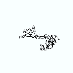 C=C1/C(=C\C=C2/CCC[C@]3(C)[C@@H]([C@H](C)CC[C@H](OC(=O)C(C)CC)C4(c5nc(C)cs5)CC4)CC[C@@H]23)C[C@@H](O)C[C@@H]1O